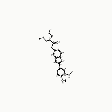 CCCN(CCC)C(=O)Cc1ccc2oc(-c3ccc(O)c(OC)c3)cc2c1